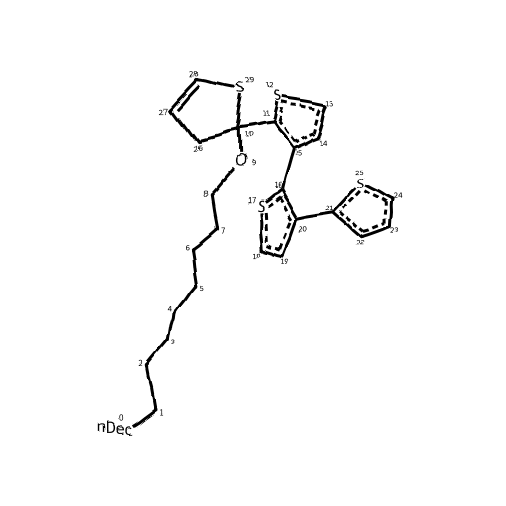 CCCCCCCCCCCCCCCCCCOC1(c2sccc2-c2sccc2-c2cccs2)CC=CS1